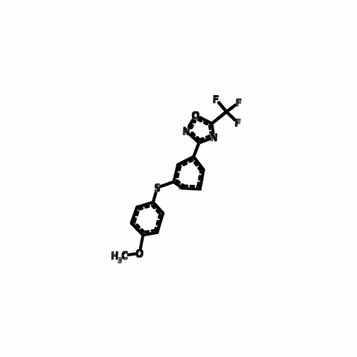 COc1ccc(Sc2[c]ccc(-c3noc(C(F)(F)F)n3)c2)cc1